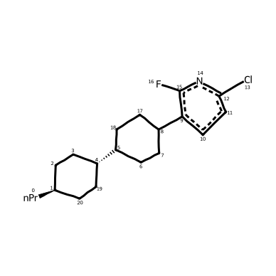 CCC[C@H]1CC[C@H](C2CCC(c3ccc(Cl)nc3F)CC2)CC1